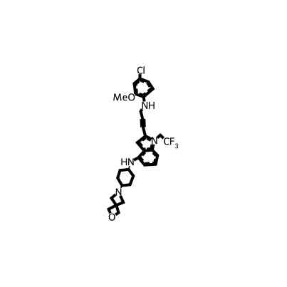 COc1cc(Cl)ccc1NCC#Cc1cc2c(N[C@H]3CC[C@@H](N4CC5(COC5)C4)CC3)cccc2n1CC(F)(F)F